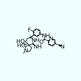 CN1CCC2(C1)C(=N)N[C@](C)(c1cc(NC(=O)c3ccc(C#N)cn3)ccc1F)CS2(O)O